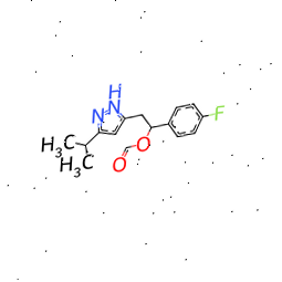 CC(C)c1cc(CC(OC=O)c2ccc(F)cc2)[nH]n1